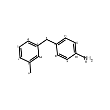 Cc1[c]ccc(Cc2ccc(N)cc2)c1